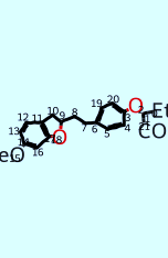 CCC(Oc1ccc(CCC2Cc3ccc(OC)cc3O2)cc1)C(=O)O